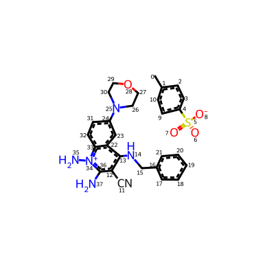 Cc1ccc(S(=O)(=O)[O-])cc1.N#Cc1c(NCc2ccccc2)c2cc(N3CCOCC3)ccc2[n+](N)c1N